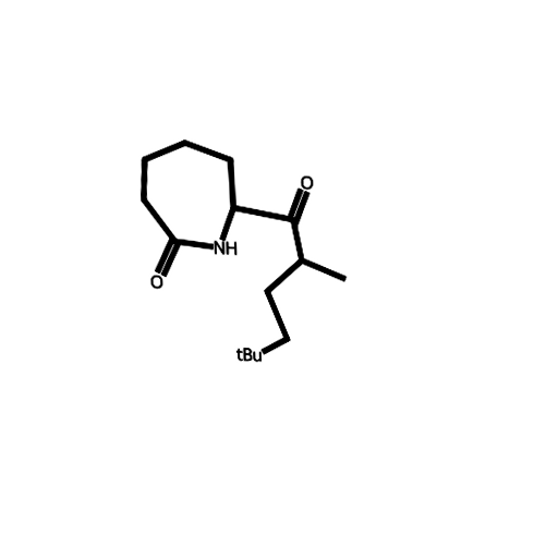 CC(CCC(C)(C)C)C(=O)C1CCCCC(=O)N1